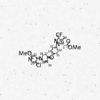 COC(=O)C[C@H]1[C@H](C)C(C(F)(F)F)=NN1c1ccc(O[C@@H]2CCN(c3cc(OC)ncc3Cl)C[C@H]2C)cc1